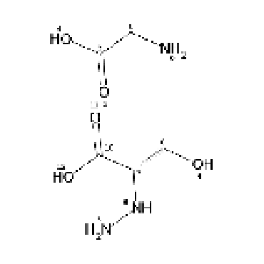 NCC(=O)O.NN[C@@H](CO)C(=O)O